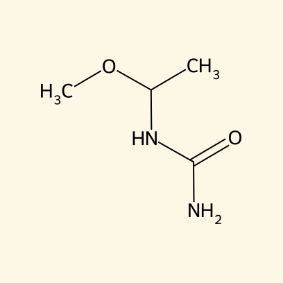 COC(C)NC(N)=O